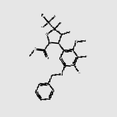 COC(=O)C1OC(C)(C(F)(F)F)C(C)C1c1cc(OCc2ccccc2)c(F)c(F)c1OC